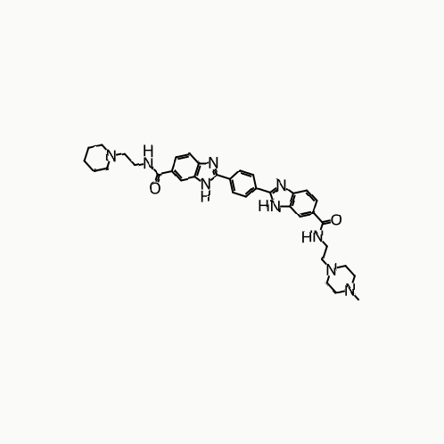 CN1CCN(CCNC(=O)c2ccc3nc(-c4ccc(-c5nc6ccc(C(=O)NCCN7CCCCC7)cc6[nH]5)cc4)[nH]c3c2)CC1